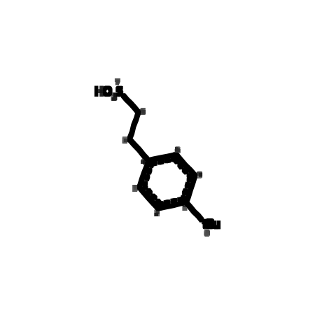 CC(C)(C)c1ccc(CCS(=O)(=O)O)cc1